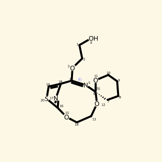 OCCO/C1=N/[C@]2(CCCCO2)OCCOc2nc1cs2